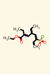 C=C\C(=C/C(=C\C)/C=C(\CC)C(=O)OCC)S(=O)(=O)Cl